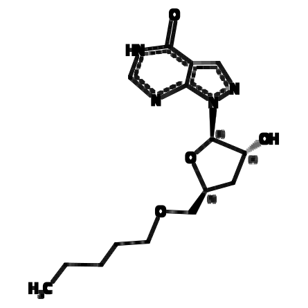 CCCCCOC[C@@H]1C[C@@H](O)[C@H](n2ncc3c(=O)[nH]cnc32)O1